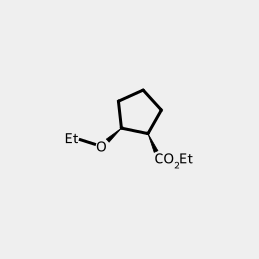 CCOC(=O)[C@@H]1CCC[C@@H]1OCC